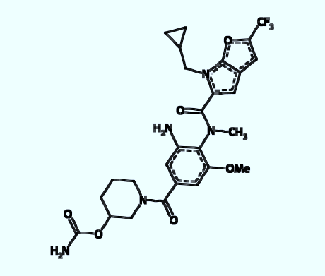 COc1cc(C(=O)N2CCCC(OC(N)=O)C2)cc(N)c1N(C)C(=O)c1cc2cc(C(F)(F)F)oc2n1CC1CC1